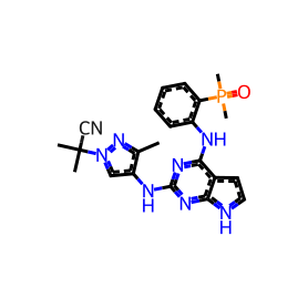 Cc1nn(C(C)(C)C#N)cc1Nc1nc(Nc2ccccc2P(C)(C)=O)c2cc[nH]c2n1